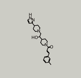 Cc1cccc(/C=C/C(=O)N2CCC(C(O)CN3CCC(c4cc[nH]n4)CC3)CC2)c1